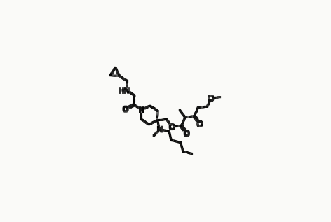 CCCCCN(C)C1(COC(=O)C(C)C(=O)CCOC)CCN(C(=O)CNCC2CC2)CC1